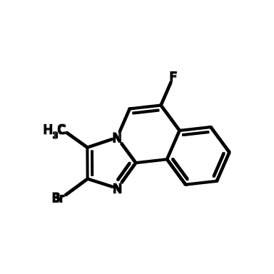 Cc1c(Br)nc2c3ccccc3c(F)cn12